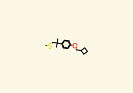 CSCC(C)(C)c1ccc(OCC2CCC2)cc1